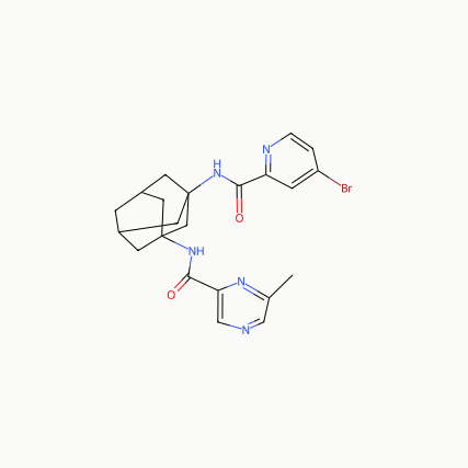 Cc1cncc(C(=O)NC23CC4CC(CC(NC(=O)c5cc(Br)ccn5)(C4)C2)C3)n1